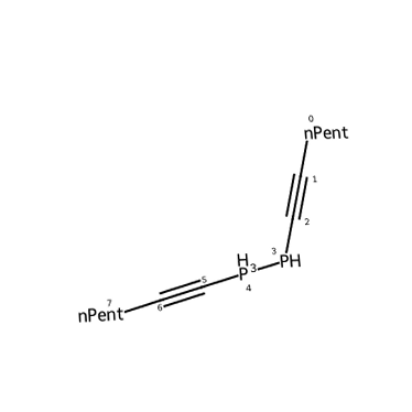 CCCCCC#CP[PH3]C#CCCCCC